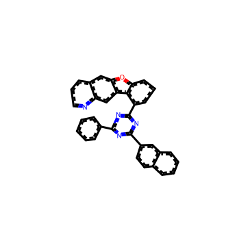 c1ccc(-c2nc(-c3ccc4ccccc4c3)nc(-c3cccc4oc5cc6cccnc6cc5c34)n2)cc1